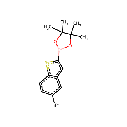 CC(C)c1ccc2sc(B3OC(C)(C)C(C)(C)O3)cc2c1